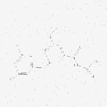 CC(C)Oc1cc(C(=O)NC(=N)S)cc(Oc2cc(F)cc(Cl)c2)n1